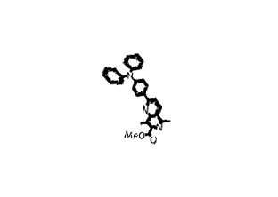 COC(=O)c1nc(C)c2ccc(-c3ccc(N(c4ccccc4)c4ccccc4)cc3)nc2c1C